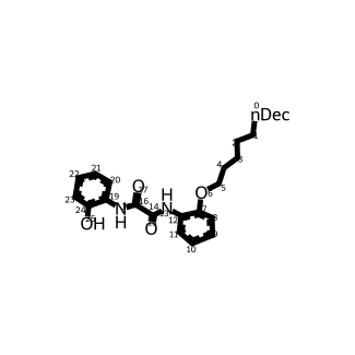 CCCCCCCCCCCCCCCOc1ccccc1NC(=O)C(=O)Nc1ccccc1O